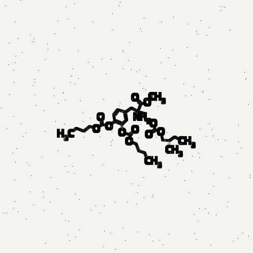 CCCCOC(=O)Oc1ccc(CC(N)(CCOC(=O)OC[C@@H](C)CC)C(=O)OC)cc1OC(=O)OCCCC